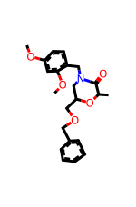 COc1ccc(CN2CC(COCc3ccccc3)OC(C)C2=O)c(OC)c1